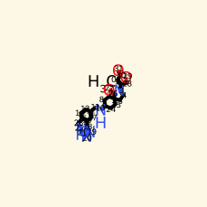 CC1=C(N2CCC3(CCC(NCc4ccc5c(c4)-c4nnnn4C5)CC3)C2=O)COC1=O